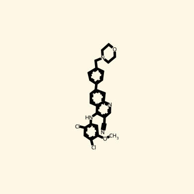 COc1cc(Nc2c(C#N)cnc3cc(-c4ccc(CN5CCOCC5)cc4)ccc23)c(Cl)cc1Cl